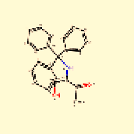 COC(=O)[C@@H](CO)NC(c1ccccc1)(c1ccccc1)c1ccccc1